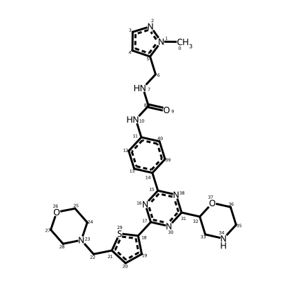 Cn1nccc1CNC(=O)Nc1ccc(-c2nc(-c3ccc(CN4CCOCC4)s3)nc(C3CNCCO3)n2)cc1